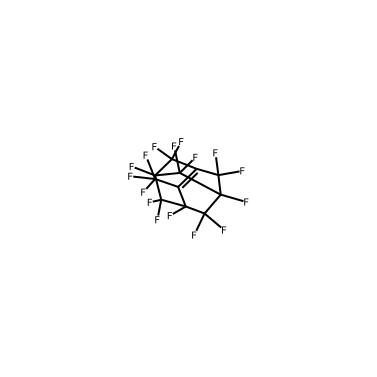 FC(F)(F)C1=C2C(F)(F)C3(F)C(F)(F)C1(F)C(F)(F)C(F)(C2(F)F)C3(F)F